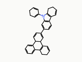 C1=CC(n2c3c(c4ccc(C5=CC6C7=C(CCC=C7)c7ccccc7C6C=C5)cc42)C=CCC3)=CCC1